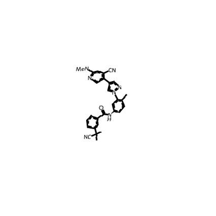 CNc1cc(C#N)c(-c2cnn(-c3cc(NC(=O)c4cccc(C(C)(C)C#N)c4)ccc3C)c2)cn1